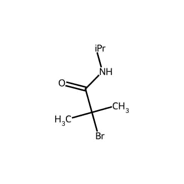 CC(C)NC(=O)C(C)(C)Br